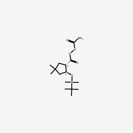 CC1(C)C[C@H](O[Si](C)(C)C(C)(C)C)[C@@H](C(=O)OOC(N)=O)C1